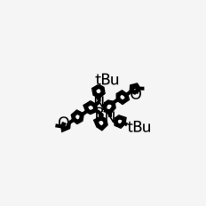 Cc1ccc(-c2ccc(-c3ccc4c(c3)B3c5ccccc5N(c5ccc(C(C)(C)C)cc5)c5cc(-c6ccc(-c7ccc(C)o7)cc6)cc(c53)N4c3ccc(C(C)(C)C)cc3)cc2)o1